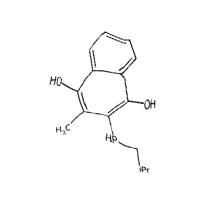 Cc1c(PCC(C)C)c(O)c2ccccc2c1O